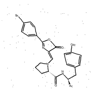 CC(=O)[C@H](Cc1ccc(O)cc1)NC(=O)[C@@H]1CCCN1/C=C1\N=C(c2ccc(Br)cc2)OC1=O